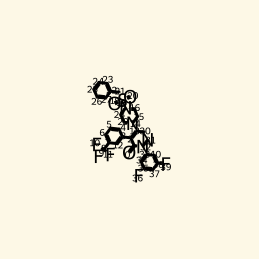 O=c1c(-c2cccc(C(F)(F)F)c2)c(N2CCN(S(=O)(=O)Cc3ccccc3)CC2)cnn1-c1cc(F)cc(F)c1